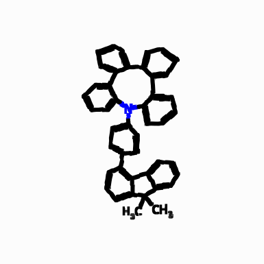 CC1(C)c2ccccc2-c2c(-c3ccc(-n4c5ccccc5c5ccccc5c5ccccc5c5ccccc54)cc3)cccc21